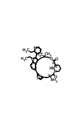 CCc1ncccc1-c1c2c3cc(ccc3n1CC)-c1nc(cs1)C[C@H](N)C(=O)N1CCC[C@H](N1)C(=O)OCC(C)(C)C2